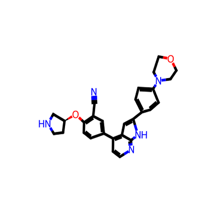 N#Cc1cc(-c2ccnc3[nH]c(-c4ccc(N5CCOCC5)cc4)cc23)ccc1O[C@H]1CCNC1